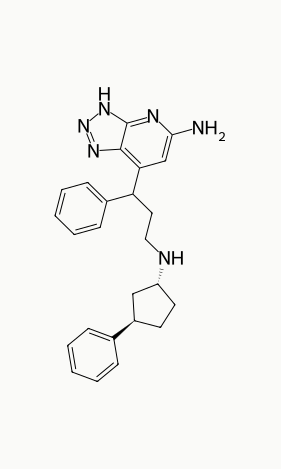 Nc1cc(C(CCN[C@@H]2CC[C@@H](c3ccccc3)C2)c2ccccc2)c2nn[nH]c2n1